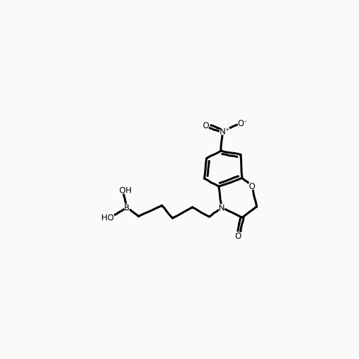 O=C1COc2cc([N+](=O)[O-])ccc2N1CCCCCB(O)O